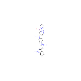 O=C(c1cc(Nc2ccc(NCCc3c[nH]c4ccccc34)cc2)ccn1)N1CCCC1